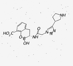 O=C(Cn1cc(C2CCNC2)nn1)N[C@H]1Cc2cccc(C(=O)O)c2OB1O